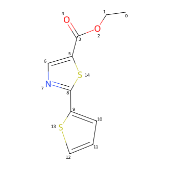 CCOC(=O)c1cnc(-c2cccs2)s1